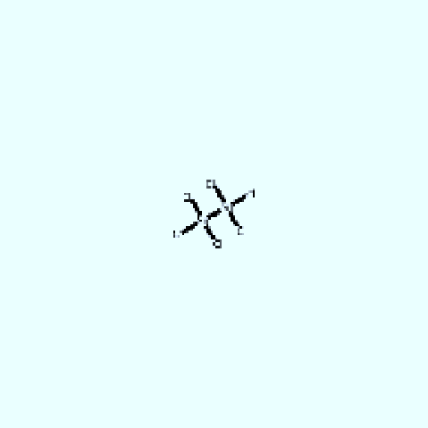 [Cl][Sn]([Cl])([Cl])[Sn]([Cl])([Cl])[Cl]